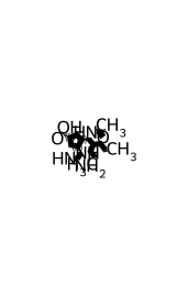 CCCC(CCC)C(NC(C)=O)[C@@H]1C[C@@H](C(=O)O)C[C@H]1NC(=N)N